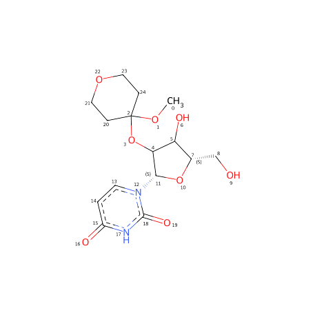 COC1(OC2C(O)[C@H](CO)O[C@@H]2n2ccc(=O)[nH]c2=O)CCOCC1